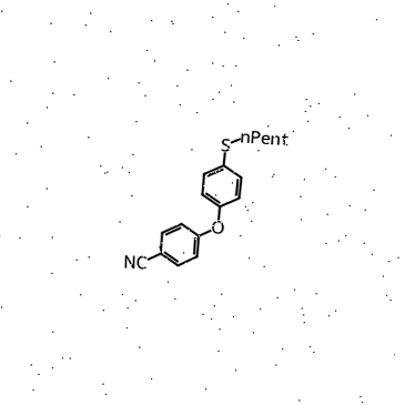 CCCCCSc1ccc(Oc2ccc(C#N)cc2)cc1